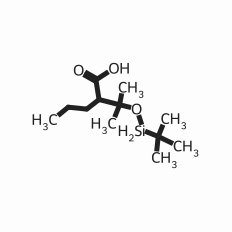 CCCC(C(=O)O)C(C)(C)O[SiH2]C(C)(C)C